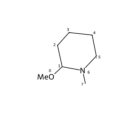 COC1CCC[CH]N1C